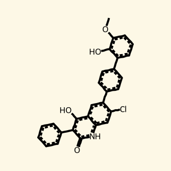 COc1cccc(-c2ccc(-c3cc4c(O)c(-c5ccccc5)c(=O)[nH]c4cc3Cl)cc2)c1O